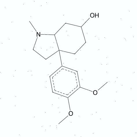 COc1ccc(C23CCC(O)CC2N(C)CC3)cc1OC